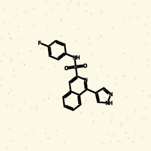 O=S(=O)(Nc1ccc(F)cc1)c1cc2ccccc2c(-c2cn[nH]c2)n1